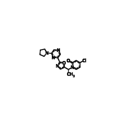 CC(c1cnc(-c2cncc(N3CCCC3)n2)o1)n1ccc(Cl)cc1=O